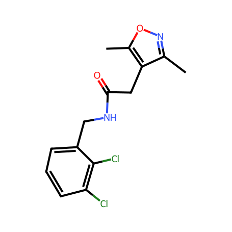 Cc1noc(C)c1CC(=O)NCc1cccc(Cl)c1Cl